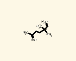 C=CC(C)(C)CCC(C)=N